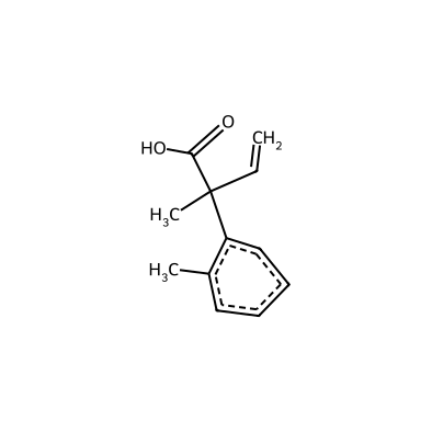 C=CC(C)(C(=O)O)c1ccccc1C